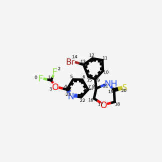 FC(F)Oc1ccc([C@@]2(c3cccc(Br)c3)COCC(=S)N2)cn1